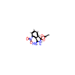 CC1OC2(NC(=N)c3c([N+](=O)[O-])cccc32)O1